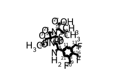 COC(=O)C1(NC(=O)C(N)c2cc(CF)c(CF)c(CF)c2)C(=O)N2[C@@H](C(=O)O)C(C)(C)S[C@@H]21